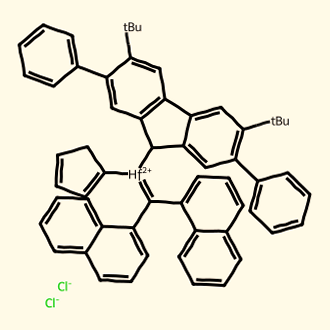 CC(C)(C)c1cc2c(cc1-c1ccccc1)[CH]([Hf+2]([C]1=CC=CC1)=[C](c1cccc3ccccc13)c1cccc3ccccc13)c1cc(-c3ccccc3)c(C(C)(C)C)cc1-2.[Cl-].[Cl-]